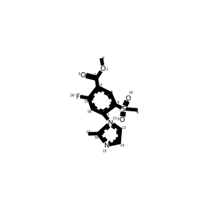 COC(=O)c1cc(S(C)(=O)=O)c(-n2ccnc2C)cc1F